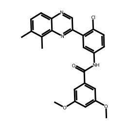 COc1cc(OC)cc(C(=O)Nc2ccc(Cl)c(-c3cnc4ccc(C)c(C)c4n3)c2)c1